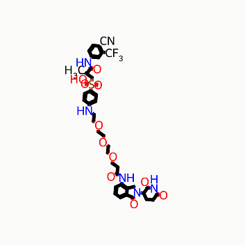 CC(O)(CS(=O)(=O)c1ccc(NCCOCCOCCOCCC(=O)Nc2cccc3c2CN(C2CCC(=O)NC2=O)C3=O)cc1)C(=O)Nc1ccc(C#N)c(C(F)(F)F)c1